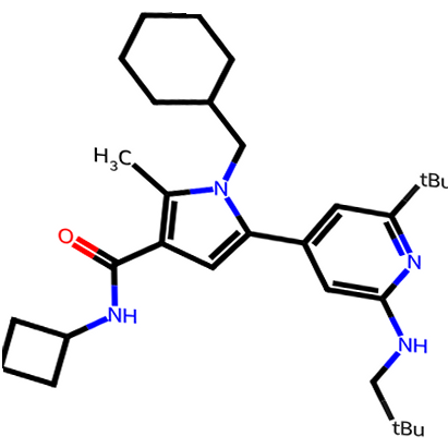 Cc1c(C(=O)NC2CCC2)cc(-c2cc(NCC(C)(C)C)nc(C(C)(C)C)c2)n1CC1CCCCC1